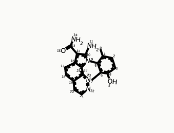 Cc1ccc(O)c(C)c1-n1c(N)c(C(N)=O)c2ccc3ccnnc3c21